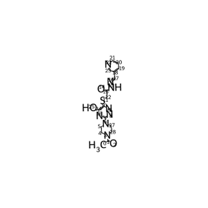 CC(=O)N1CCN(c2nnc(SCC(=O)N/N=C/c3cccnc3)c(O)n2)CC1